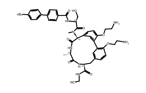 CCCCc1ccc(-c2ccc(C(=O)N[C@@H](CO)C(=O)N(C)[C@@H]3C(=O)N[C@@H](C)C(=O)N[C@H](C(=O)NCC#N)Cc4ccc(OCCN)c(c4)-c4cc3ccc4OCCN)cc2)cc1